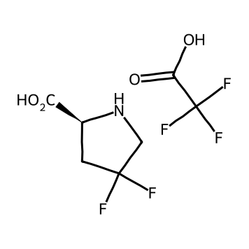 O=C(O)C(F)(F)F.O=C(O)[C@@H]1CC(F)(F)CN1